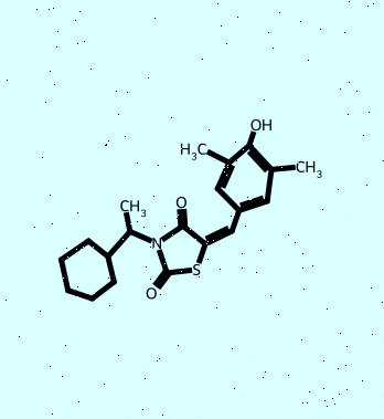 Cc1cc(C=C2SC(=O)N(C(C)C3CCCCC3)C2=O)cc(C)c1O